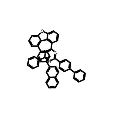 c1ccc(-c2ccc(-c3nc(-c4ccccc4)nc(-c4cccc5oc6cccc(-c7ccc(-c8ccc9ccccc9c8)cc7)c6c45)n3)cc2)cc1